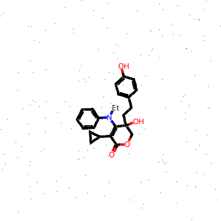 CCN(C1=C(C2CC2)C(=O)OCC1(O)CCc1ccc(O)cc1)c1ccccc1